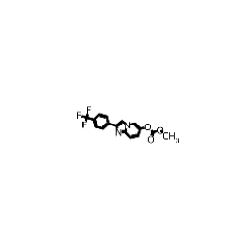 COC(=O)Oc1ccc2nc(-c3ccc(C(F)(F)F)cc3)cn2c1